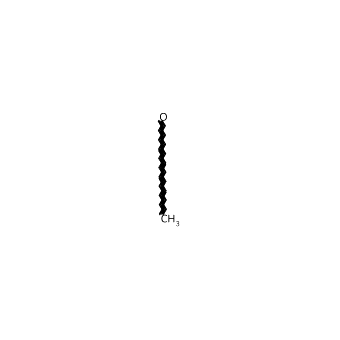 CCCCCC=CCC=CCC=CCC=CCCCCCC=O